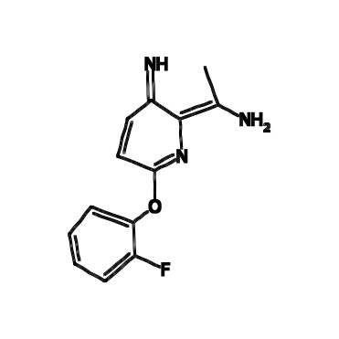 C/C(N)=C1/N=C(Oc2ccccc2F)C=CC1=N